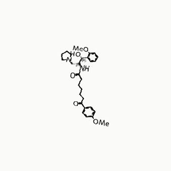 COc1ccc(C(=O)CCCCCC(=O)N[C@H](CN2CCCC2)[C@H](O)c2ccccc2OC)cc1